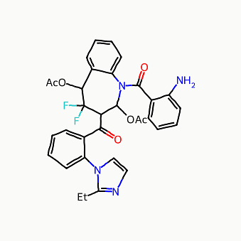 CCc1nccn1-c1ccccc1C(=O)C1C(OC(C)=O)N(C(=O)c2ccccc2N)c2ccccc2C(OC(C)=O)C1(F)F